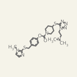 CN(C)CCn1nnnc1SC1CCN(C(=O)Oc2ccc(CSc3nccn3C)cc2)CC1